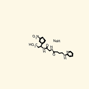 O=C(O)CC(NC(=O)CNC(=O)CCCNc1ccccn1)c1cccc([N+](=O)[O-])c1.[NaH]